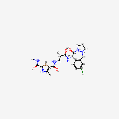 CNC(=O)c1nc(C)c(C(=O)NC[C@@H](C)C(=O)N[C@@H]2C(=O)N3CCCN3Cc3cc(F)ccc32)s1